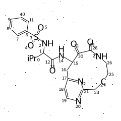 CC(C)C(NS(=O)(=O)c1ccccc1)C(=O)NC1Cc2ccnc(n2)CCCCNC(=O)C1=O